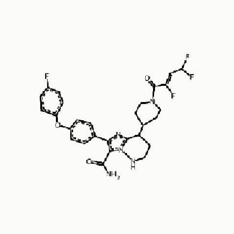 NC(=O)c1c(-c2ccc(Oc3ccc(F)cc3)cc2)nc2n1NCCC2C1CCN(C(=O)C(F)=CC(F)F)CC1